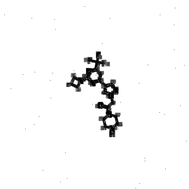 O=C(Cn1cc(-c2cc(C(F)(F)F)nc(N3CCC3)n2)cn1)N1CCNCC1